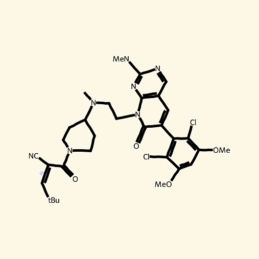 CNc1ncc2cc(-c3c(Cl)c(OC)cc(OC)c3Cl)c(=O)n(CCN(C)C3CCN(C(=O)/C(C#N)=C\C(C)(C)C)CC3)c2n1